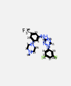 CN1CCN(c2cc(Nc3ncn(-c4cc(F)cc(F)c4)n3)cc(C(F)(F)F)c2)CC1